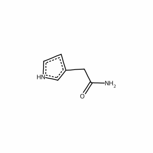 NC(=O)Cc1cc[nH]c1